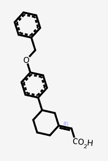 O=C(O)/C=C1\CCCC(c2ccc(OCc3ccccc3)cc2)C1